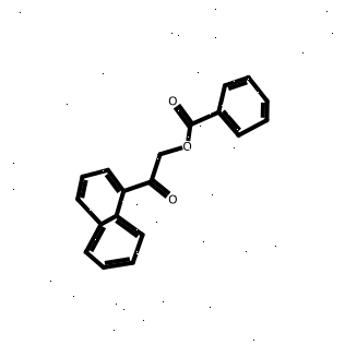 O=C(OCC(=O)c1cccc2ccccc12)c1ccccc1